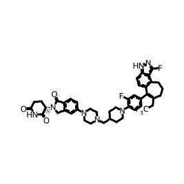 O=C1CC[C@H](N2Cc3cc(N4CCN(CC5CCN(c6ccc(C7=C(CC(F)(F)F)CCCc8c7ccc7[nH]nc(F)c87)cc6F)CC5)CC4)ccc3C2=O)C(=O)N1